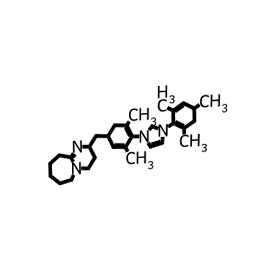 CC1=CC(C)CC(C)=C1N1C=CN(C2=C(C)CC(CC3CCN4CCCCCC4=N3)C=C2C)C1